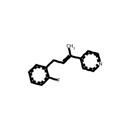 C/C(=C\Cc1ccccc1F)c1ccncc1